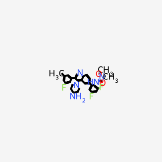 CON(C)C(=O)Nc1c(F)cc(F)cc1-c1ccc2ncc(-c3cc(C)cc(F)c3)c(N3CCC(N)CC3)c2c1